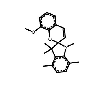 COc1cccc2c1OC1(C=C2)N(C)c2c(C)ccc(C)c2C1(C)C